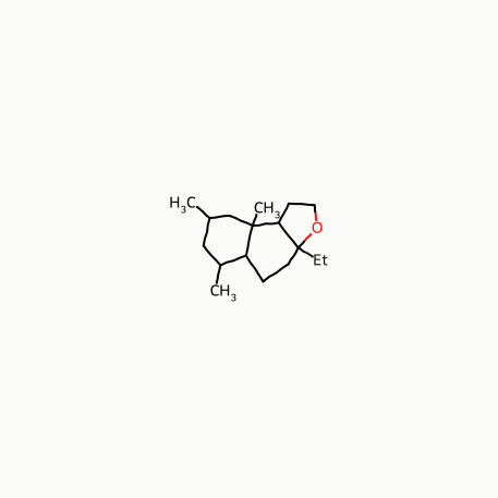 CCC12CCC3C(C)CC(C)CC3(C)C1CCO2